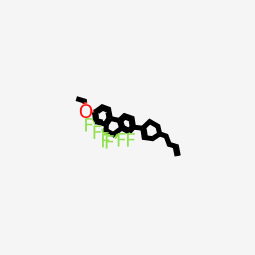 C=CCCC1CC=C(c2ccc3c(c2F)C(F)(F)C(F)(F)c2c-3ccc(OCC)c2F)CC1